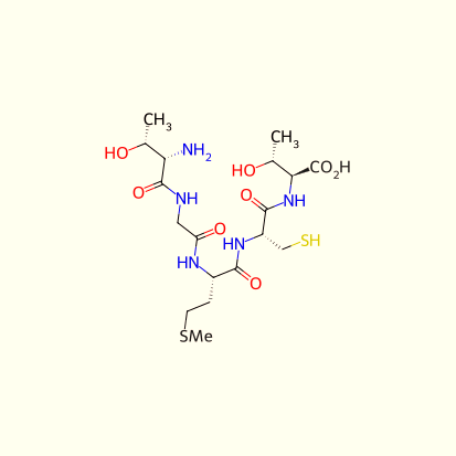 CSCC[C@H](NC(=O)CNC(=O)[C@@H](N)[C@@H](C)O)C(=O)N[C@@H](CS)C(=O)N[C@H](C(=O)O)[C@@H](C)O